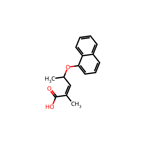 CC(=CC(C)Oc1cccc2ccccc12)C(=O)O